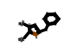 [CH2]c1sc(Cc2ccccc2)cc1C